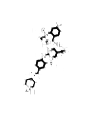 COc1cc(C(=O)NC2CCN(C)CC2)ccc1Nc1ncc(C(F)(F)F)c(NCc2ccc(Cl)cc2N(C)[SH](=O)=O)n1